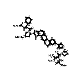 COC[C@H]1C[C@@H](c2nc3ccc4cc5c(cc4c3[nH]2)OCc2cc(-c3cnc([C@@H]4CCCN4C(=O)[C@@H](NC(=O)OC)[C@@H](C)OC)[nH]3)ccc2-5)N(C(=O)C(NC(=O)OC)c2ccccc2)C1